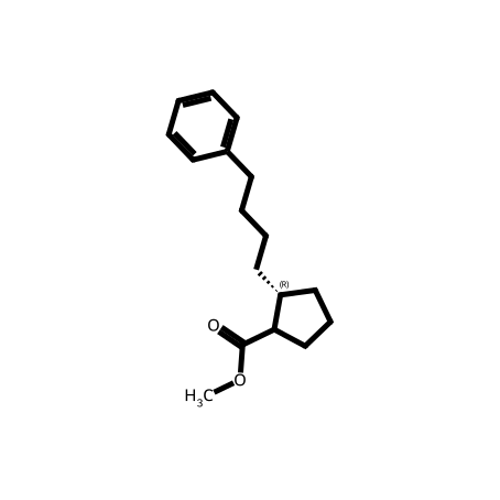 COC(=O)C1CCC[C@H]1CCCCc1ccccc1